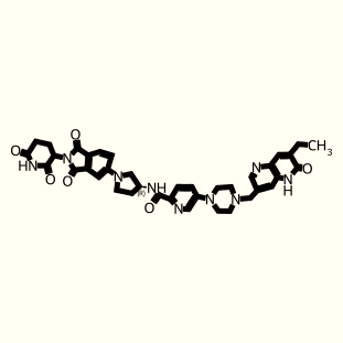 CCc1cc2ncc(CN3CCN(c4ccc(C(=O)N[C@@H]5CCN(c6ccc7c(c6)C(=O)N(C6CCC(=O)NC6=O)C7=O)C5)nc4)CC3)cc2[nH]c1=O